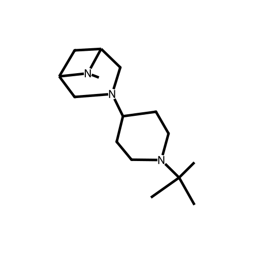 CN1C2CC1CN(C1CCN(C(C)(C)C)CC1)C2